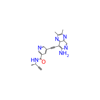 C#C[C@@H](C)NC(=O)c1cncc(C#Cc2c(N)ncc3nc(C)c(C)nc23)c1